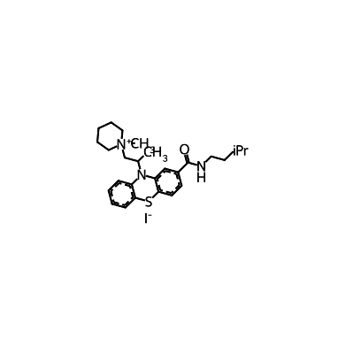 CC(C)CCNC(=O)c1ccc2c(c1)N(C(C)C[N+]1(C)CCCCC1)c1ccccc1S2.[I-]